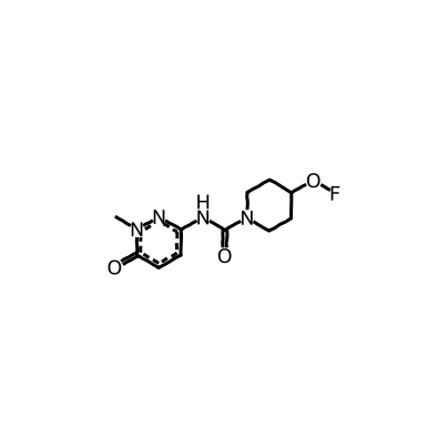 Cn1nc(NC(=O)N2CCC(OF)CC2)ccc1=O